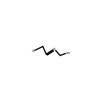 CCCCN=C[CH2][Al]